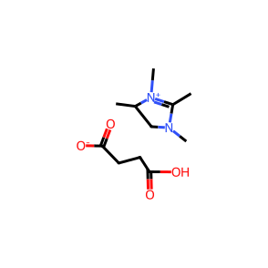 CC1=[N+](C)C(C)CN1C.O=C([O-])CCC(=O)O